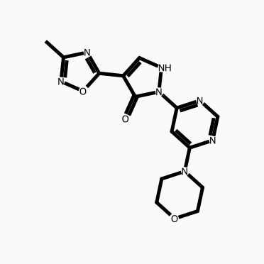 Cc1noc(-c2c[nH]n(-c3cc(N4CCOCC4)ncn3)c2=O)n1